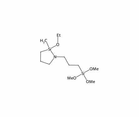 CCO[Si]1(C)CCCN1CCC[Si](OC)(OC)OC